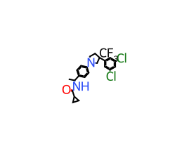 CC(NC(=O)C1CC1)c1ccc(N2CCC(c3cc(Cl)cc(Cl)c3)(C(F)(F)F)C2)cc1